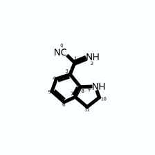 N#CC(=N)c1cccc2c1NCC2